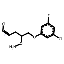 NOC(C/C=C\Cl)COc1cc(F)cc(Cl)c1